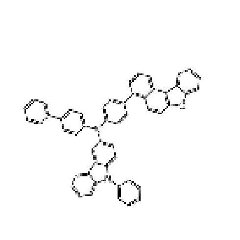 c1ccc(-c2ccc(N(c3ccc(-c4cccc5c4ccc4oc6ccccc6c45)cc3)c3ccc4c(c3)c3ccccc3n4-c3ccccc3)cc2)cc1